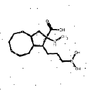 CNC1(C(=O)O)CC2CCCCCCC2C1CCCB(O)O